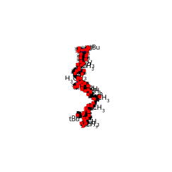 Cc1cc(CCC(C)c2ccc3oc4c(cc5ccc6c7c(cc8c(-c9cccc(C(C)(C)C)c9)cc4c5c86)-c4ccccc4C7(C)C)c3c2)cc(-c2ccc3c(c2)C(C)(C)c2c-3cc3ccc4c5c(ccc2c35)cc2c3ccc(C(C)(C)Cc5cccc(N(c6ccccc6)c6ccc7c(c6)C(C)(C)c6c-7cc7ccc8c9c(ccc6c79)cc6c7cc(C(C)(C)C)ccc7n(-c7ccccc7)c68)c5)cc3n(-c3ccccc3)c24)c1